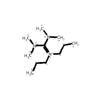 CCC[N+](CCC)=C(N(C)C)N(C)C